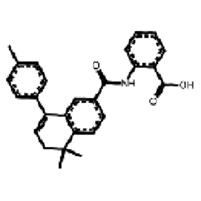 Cc1ccc(C2=CCC(C)(C)c3ccc(C(=O)Nc4ccccc4C(=O)O)cc32)cc1